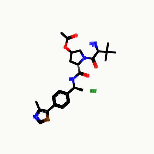 CC(=O)O[C@@H]1C[C@@H](C(=O)N[C@@H](C)c2ccc(-c3scnc3C)cc2)N(C(=O)[C@@H](N)C(C)(C)C)C1.Cl